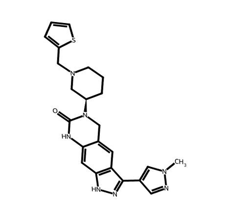 Cn1cc(-c2n[nH]c3cc4c(cc23)CN([C@@H]2CCCN(Cc3cccs3)C2)C(=O)N4)cn1